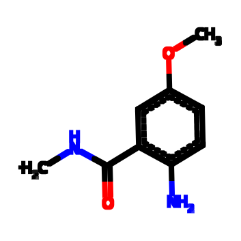 [CH2]NC(=O)c1cc(OC)ccc1N